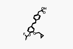 O=C(O)Cc1ccc(C=Cc2ccc(OC(F)F)c(OCC3CC3)c2)cc1